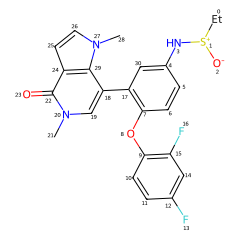 CC[S+]([O-])Nc1ccc(Oc2ccc(F)cc2F)c(-c2cn(C)c(=O)c3ccn(C)c23)c1